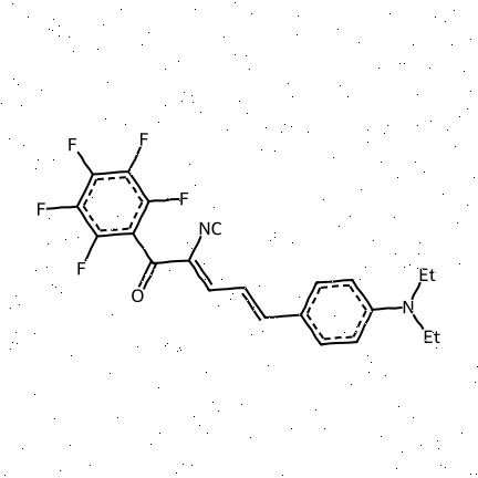 [C-]#[N+]/C(=C\C=C\c1ccc(N(CC)CC)cc1)C(=O)c1c(F)c(F)c(F)c(F)c1F